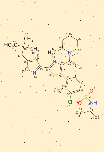 CCC(NS(=O)(=O)c1ccc(-c2sc(-c3noc(CC(C)(C)C(=O)O)n3)nc2C(=O)N2CCCCC2C)c(Cl)c1Cl)C(F)(F)F